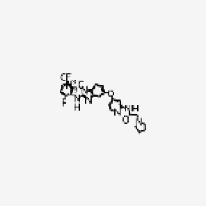 Cn1c(Nc2cc(C(F)(F)F)ccc2F)nc2cc(Oc3ccnc(NC(=O)CN4CCCC4)c3)ccc21